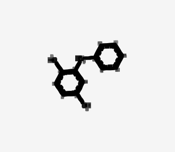 Oc1ccc(O)c(Nc2ccccc2)c1